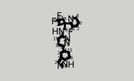 Fc1cccnc1C1(CNc2ccc(-c3ccc4[nH]ncc4c3)nn2)CC(F)(F)C1